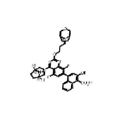 O=C(O)c1c(O)cc(-c2cc(F)c3c(N4C[C@H]5CC[C@@H](C4)N5)nc(OCCCN4C5CCC4COC5)nc3c2F)c2ccccc12